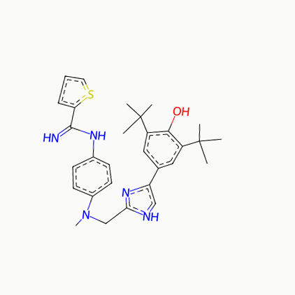 CN(Cc1nc(-c2cc(C(C)(C)C)c(O)c(C(C)(C)C)c2)c[nH]1)c1ccc(NC(=N)c2cccs2)cc1